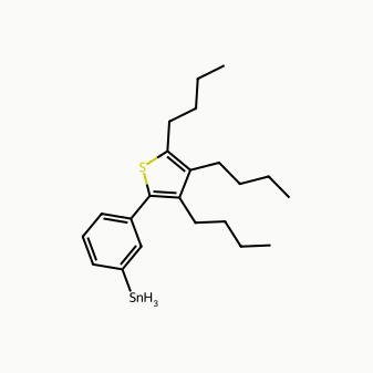 CCCCc1sc(-c2ccc[c]([SnH3])c2)c(CCCC)c1CCCC